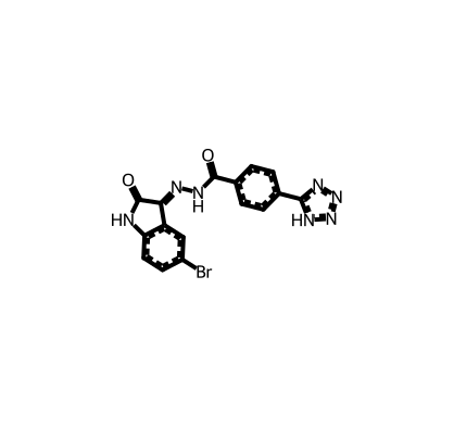 O=C1Nc2ccc(Br)cc2/C1=N\NC(=O)c1ccc(-c2nnn[nH]2)cc1